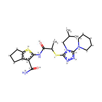 CC(C)Cn1c(SC(C)C(=O)Nc2sc3c(c2C(N)=O)CCC3)nnc1N1CCCCC1